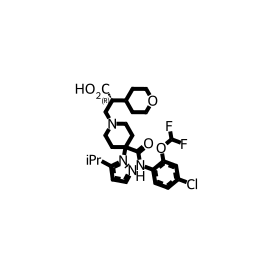 CC(C)c1ccnn1C1(C(=O)Nc2ccc(Cl)cc2OC(F)F)CCN(C[C@H](C(=O)O)C2CCOCC2)CC1